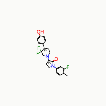 Cc1ccc(N2CC[C@@H](N3CC[C@H](c4ccc(O)cc4)C(F)(F)C3)C2=O)cc1F